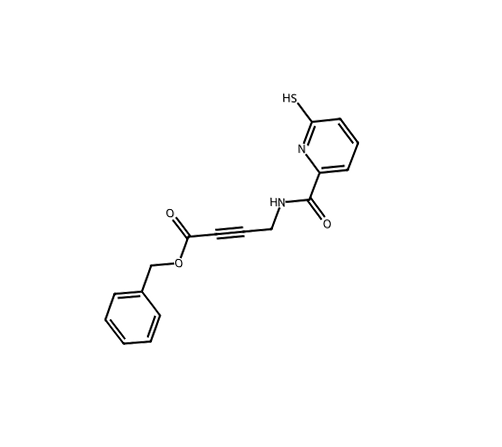 O=C(C#CCNC(=O)c1cccc(S)n1)OCc1ccccc1